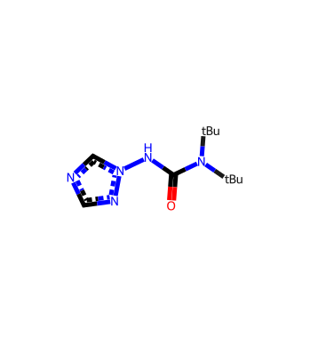 CC(C)(C)N(C(=O)Nn1cncn1)C(C)(C)C